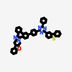 c1ccc(-c2nc(-c3ccc(-c4ccc5c(c4)c4ccccc4c4nc6cc7c(cn6c54)oc4ccccc47)cc3)nc(-c3ccc4sc5ccccc5c4c3)n2)cc1